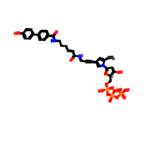 O=C(CCCCCNC(=O)c1ccc(-c2ccc(O)cc2)cc1)NCC#Cc1cc([N+](=O)[O-])n([C@H]2CC(O)[C@@H](COP(=O)(O)OP(=O)(O)OP(=O)(O)O)O2)c1